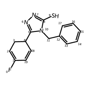 FC1=CCC(c2nnc(S)n2Cc2ccccc2)C=C1